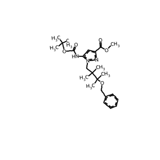 COC(=O)c1cc(NC(=O)OC(C)(C)C)n(CC(C)(C)C(C)(C)OCc2ccccc2)n1